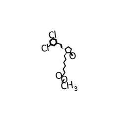 CCOC(=O)CCCCCC[C@@H]1C(=O)CC[C@H]1C=Cc1cc(Cl)cc(Cl)c1